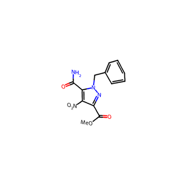 COC(=O)c1nn(Cc2ccccc2)c(C(N)=O)c1[N+](=O)[O-]